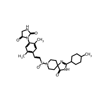 Cc1cc(N2C(=O)CNC2=O)c(C)cc1/C=C/[S+]([O-])N1CCC2(CC1)N=C(C1CCC(C)CC1)NC2=O